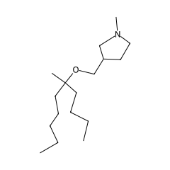 CCCCCC(C)(CCCC)OCC1CCN(C)C1